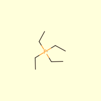 CC[P](CC)(CC)CC